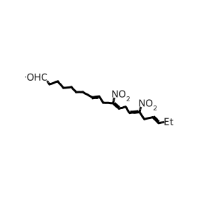 CC/C=C/C/C(=C/C/C=C(/C/C=C/CCCCCC[C]=O)[N+](=O)[O-])[N+](=O)[O-]